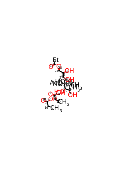 CC(=O)O.CC(=O)O.CC(=O)OCC(O)CO.CCC(=O)O.CCC(=O)O.CCC(=O)OCC(O)CO